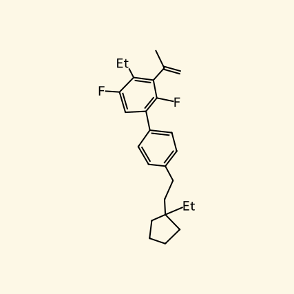 C=C(C)c1c(F)c(-c2ccc(CCC3(CC)CCCC3)cc2)cc(F)c1CC